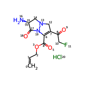 C=CCOC(=O)C1=C(C(=O)CF)CN2C[C@H](N)C(=O)N12.Cl